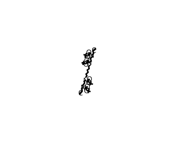 C=C=CCN(CCCN(CCCCCCCCN(CCCN(CC=C=C)C(=O)OC(C)(C)C)C(=O)OC(C)(C)C)C(=O)OC(C)(C)C)C(=O)OC(C)(C)C